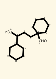 CCCCC(CCC1(C=O)CCCCC1)C1CCCCC1